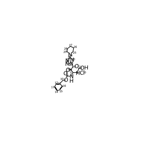 Cl.O=C(O)CC(NC(=O)OCc1ccccc1)C(=O)Cn1nnc(N2CCCCC2)n1